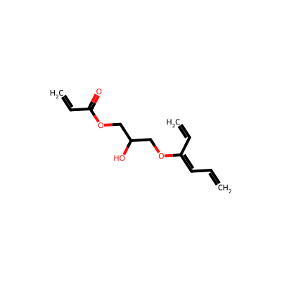 C=C/C=C(\C=C)OCC(O)COC(=O)C=C